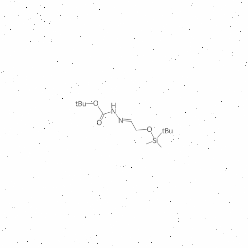 CC(C)(C)OC(=O)NN=CCO[Si](C)(C)C(C)(C)C